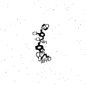 CNC(=O)C(CCC=O)N1Cc2cc(CNC(=O)Cc3ccc(CN4CCOCC4)c(Cl)c3)ccc2C1=O